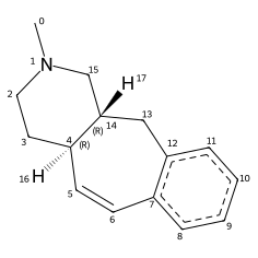 CN1CC[C@@H]2C=Cc3ccccc3C[C@H]2C1